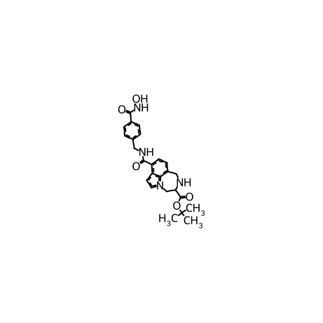 CC(C)(C)OC(=O)C1Cn2ccc3c(C(=O)NCc4ccc(C(=O)NO)cc4)ccc(c32)CN1